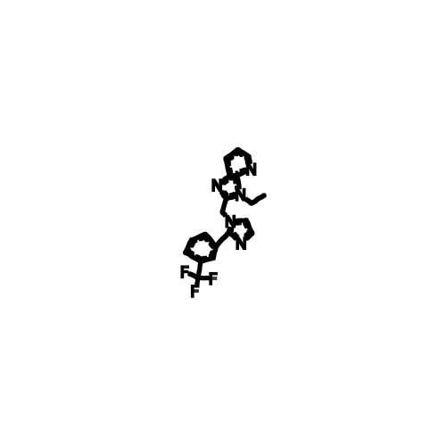 CCn1c(Cn2ccnc2-c2cccc(C(F)(F)F)c2)nc2cccnc21